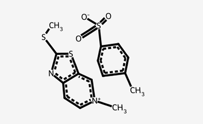 CSc1nc2cc[n+](C)cc2s1.Cc1ccc(S(=O)(=O)[O-])cc1